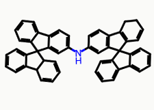 C1=CC2c3ccccc3C3(c4ccccc4-c4ccc(Nc5ccc6c(c5)C5(C7=C6CCC=C7)c6ccccc6-c6ccccc65)cc43)C2C=C1